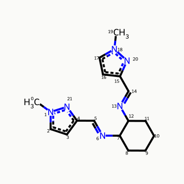 Cn1ccc(C=NC2CCCCC2N=Cc2ccn(C)n2)n1